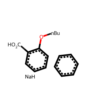 CCCCOc1ccccc1C(=O)O.[NaH].c1ccccc1